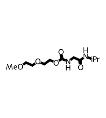 COCCOCCOC(=O)NCC(=O)NC(C)C